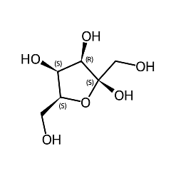 OC[C@@H]1O[C@@](O)(CO)[C@H](O)[C@@H]1O